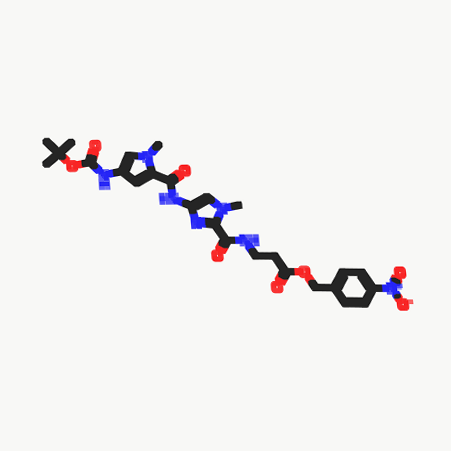 Cn1cc(NC(=O)OC(C)(C)C)cc1C(=O)Nc1cn(C)c(C(=O)NCCC(=O)OCc2ccc([N+](=O)[O-])cc2)n1